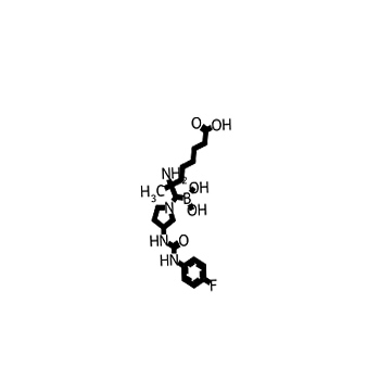 CC(N)(CCCCCC(=O)O)C(B(O)O)N1CCC(NC(=O)Nc2ccc(F)cc2)C1